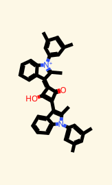 CC1=[N+](c2cc(C)cc(C)c2)c2ccccc2/C1=C1/C(=O)C(c2c(C)n(-c3cc(C)cc(C)c3)c3ccccc23)=C1O